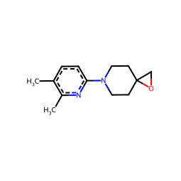 Cc1ccc(N2CCC3(CC2)CO3)nc1C